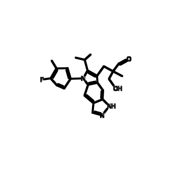 Cc1cc(-n2c(C(C)C)c(CC(C)(C=O)CO)c3cc4[nH]ncc4cc32)ccc1F